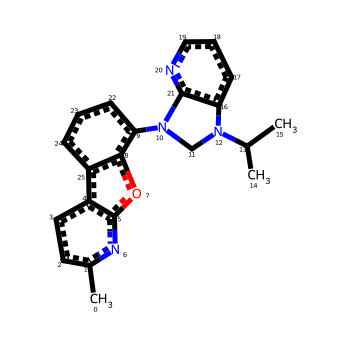 Cc1ccc2c(n1)oc1c(N3CN(C(C)C)c4cccnc43)cccc12